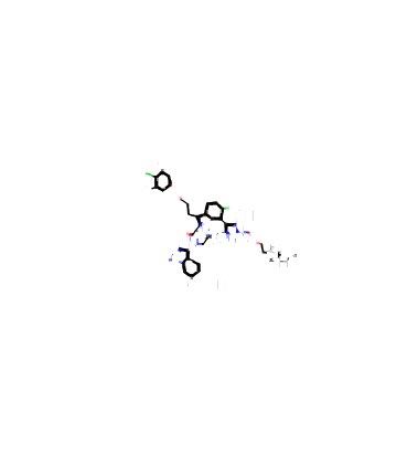 Cc1cc(OCCCc2c3n(c4c(-c5c(C)nn(COCC[Si](C)(C)C)c5C)c(Cl)ccc24)C(C)CN(c2cn(C)c4cc(C(=O)O)ccc24)C3=O)cc(C)c1Cl